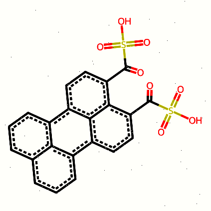 O=C(c1ccc2c3cccc4cccc(c5ccc(C(=O)S(=O)(=O)O)c1c25)c43)S(=O)(=O)O